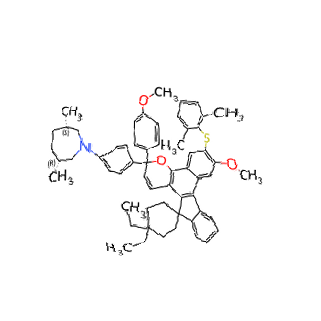 CCC1(CC)CCC2(CC1)c1ccccc1-c1c2c2c(c3cc(Sc4c(C)cccc4C)c(OC)cc13)OC(c1ccc(OC)cc1)(c1ccc(N3C[C@H](C)CC[C@H](C)C3)cc1)C=C2